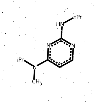 CCCNc1nccc(N(C)C(C)C)n1